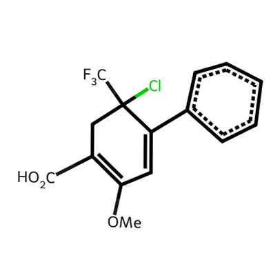 COC1=C(C(=O)O)CC(Cl)(C(F)(F)F)C(c2ccccc2)=C1